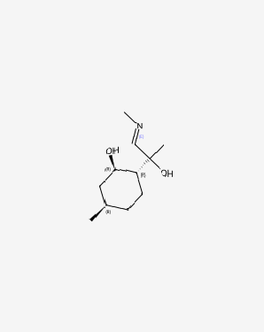 C/N=C/C(C)(O)[C@@H]1CC[C@@H](C)C[C@H]1O